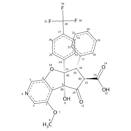 COc1cncc2c1[C@]1(O)C(=O)[C@H](C(=O)O)[C@@H](c3ccccc3)[C@]1(c1ccc(C(F)(F)F)cc1)O2